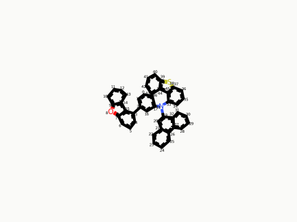 c1cc(-c2cccc3oc4ccccc4c23)cc(N(c2cc3ccccc3c3ccccc23)c2cccc3sc4ccccc4c23)c1